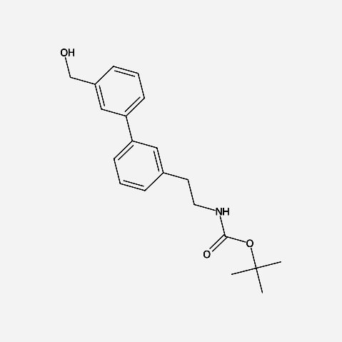 CC(C)(C)OC(=O)NCCc1cccc(-c2cccc(CO)c2)c1